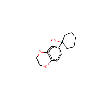 OC1(c2ccc3c(c2)OCCO3)CCCCC1